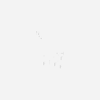 N#[N+]c1ccc(C(O)(C(F)(F)F)C(F)(F)F)cc1